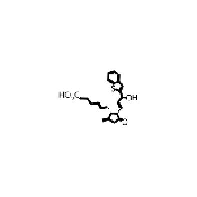 C=C1CC(=O)[C@H](C=CC(O)c2cc3ccccc3s2)[C@H]1CC=CCCCC(=O)O